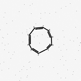 [c]1ccccccccc1